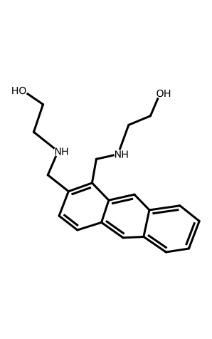 OCCNCc1ccc2cc3ccccc3cc2c1CNCCO